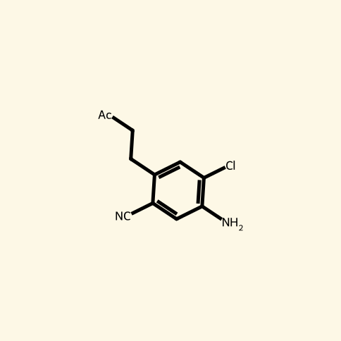 CC(=O)CCc1cc(Cl)c(N)cc1C#N